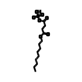 CCCCCCCCCOC(=O)CCC(=O)OS(=O)(=O)O